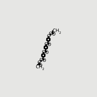 C=CC(=O)OCOC(=O)c1ccc(OC(=O)c2ccc(OC(=O)c3ccc(OCOC(=O)C=C)cc3)cc2)cc1